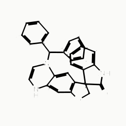 O=C1Nc2ccccc2C12COc1cc3c(cc12)N(C(c1ccccc1)c1ccccc1)C=CN3